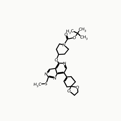 CSc1ncc2c(OC3CCN(C(=O)OC(C)(C)C)CC3)ncc(C3=CCC4(CC3)OCCO4)c2n1